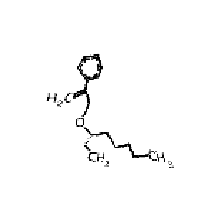 C=C(CO[C@@H](CC)CCCCC)c1ccccc1